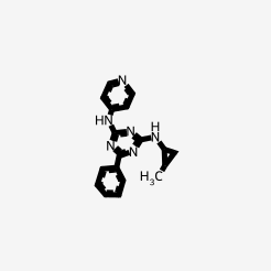 CC1CC1Nc1nc(Nc2ccncc2)nc(-c2ccccc2)n1